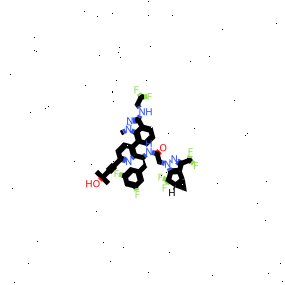 Cn1nc(NCC(F)F)c2cccc(-c3ccc(C#CC(C)(C)O)nc3[C@H](Cc3cc(F)cc(F)c3)NC(=O)Cn3nc(C(F)F)c4c3C(F)(F)[C@@H]3CC43)c21